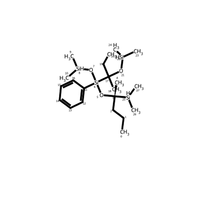 CCC[C@](C)(O[Si](O[SiH](C)C)(c1ccccc1)C(C)(CC)O[SiH](C)C)[SiH](C)C